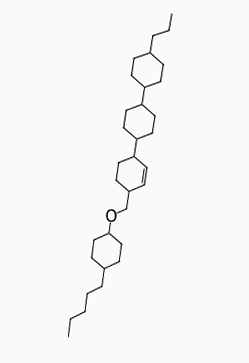 CCCCCC1CCC(OCC2C=CC(C3CCC(C4CCC(CCC)CC4)CC3)CC2)CC1